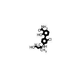 CC(C)(CCO)Nc1ccc(-c2cccc(C(N)=O)c2O)c(Cl)c1